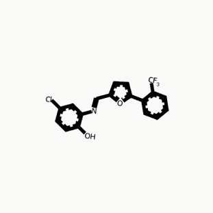 Oc1ccc(Cl)cc1N=Cc1ccc(-c2ccccc2C(F)(F)F)o1